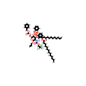 C=CCO[C@H]1O[C@H](COC(=O)OCc2ccccc2)[C@@H](OP(=O)(Oc2ccccc2)Oc2ccccc2)[C@H](OCC[C@@H](CCCCCCCCCCC)OC(=O)CCCCCCCCCCCCC)[C@H]1NC(=O)OCC(Cl)(Cl)Cl